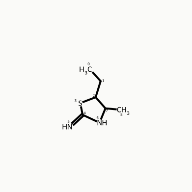 CCC1SC(=N)NC1C